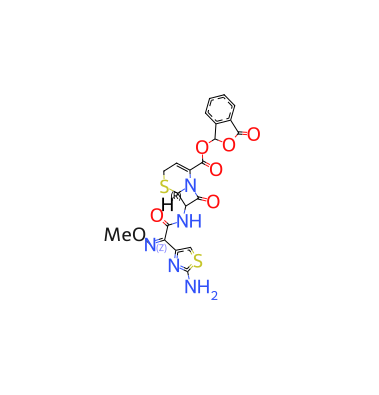 CO/N=C(\C(=O)NC1C(=O)N2C(C(=O)OC3OC(=O)c4ccccc43)=CCS[C@H]12)c1csc(N)n1